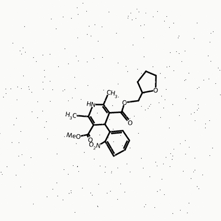 COC(=O)C1=C(C)NC(C)=C(C(=O)OCC2CCCO2)C1c1ccccc1[N+](=O)[O-]